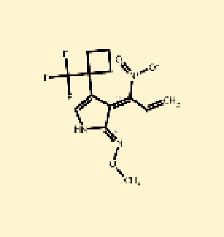 C=C/C(=C1/C(C2(C(F)(F)F)CCC2)=CN/C1=N\OC)[N+](=O)[O-]